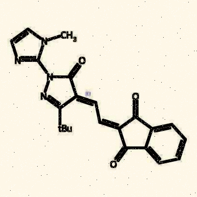 Cn1ccnc1N1N=C(C(C)(C)C)/C(=C\C=C2C(=O)c3ccccc3C2=O)C1=O